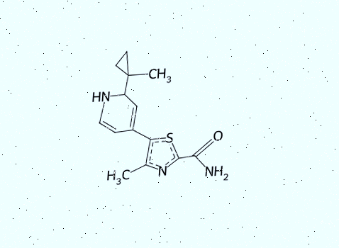 Cc1nc(C(N)=O)sc1C1=CC(C2(C)CC2)NC=C1